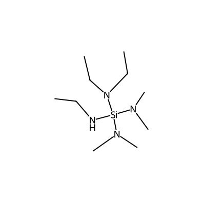 CCN[Si](N(C)C)(N(C)C)N(CC)CC